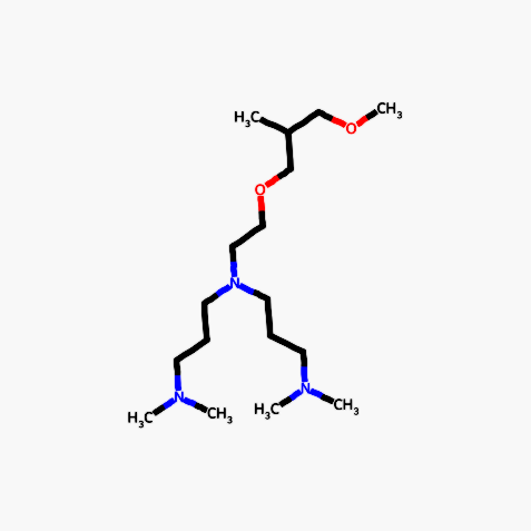 COCC(C)COCCN(CCCN(C)C)CCCN(C)C